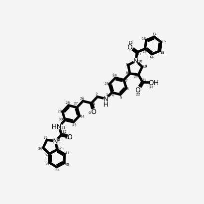 O=C(CNc1ccc(C2CN(C(=O)c3ccccc3)CC2C(=O)O)cc1)Cc1ccc(NC(=O)N2CCc3ccccc32)cc1